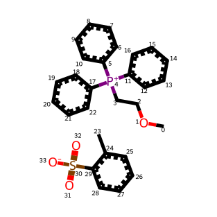 COCC[P+](c1ccccc1)(c1ccccc1)c1ccccc1.Cc1ccccc1S(=O)(=O)[O-]